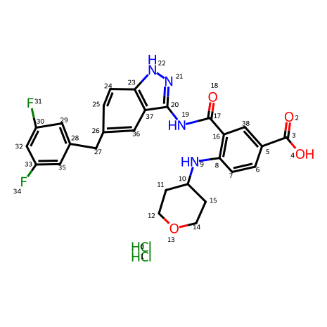 Cl.Cl.O=C(O)c1ccc(NC2CCOCC2)c(C(=O)Nc2n[nH]c3ccc(Cc4cc(F)cc(F)c4)cc23)c1